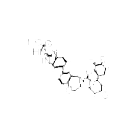 O=C1CCN(C(=O)N2CCOc3ccc(-c4ccc5nc(NC(=O)O)[nH]c5c4)cc3C2)C(c2ccc(F)c(F)c2)C1